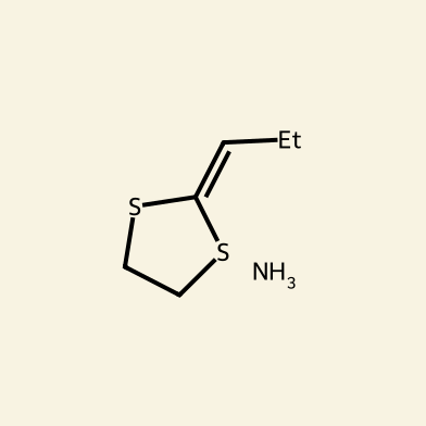 CCC=C1SCCS1.N